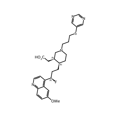 COc1ccc2nccc([C@H](F)CC[C@@H]3CCN(CCCSc4cncnc4)C[C@@H]3CC(=O)O)c2c1